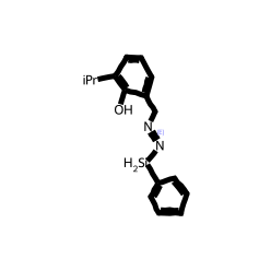 CC(C)c1cccc(C/N=N/[SiH2]c2ccccc2)c1O